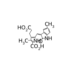 Cc1ccc2c(c1)/C(=C/c1[nH]c(C(=O)O)c(C)c1CCC(=O)O)C(=O)N2